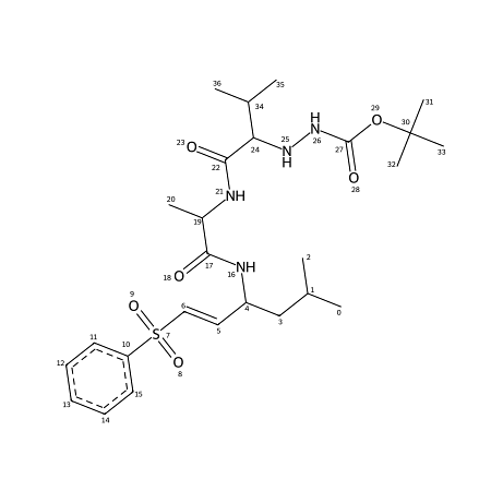 CC(C)CC(C=CS(=O)(=O)c1ccccc1)NC(=O)C(C)NC(=O)C(NNC(=O)OC(C)(C)C)C(C)C